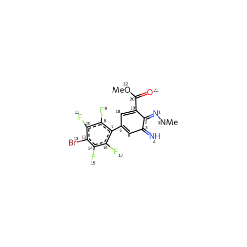 CN/N=C1\C(=N)C=C(c2c(F)c(F)c(Br)c(F)c2F)C=C1C(=O)OC